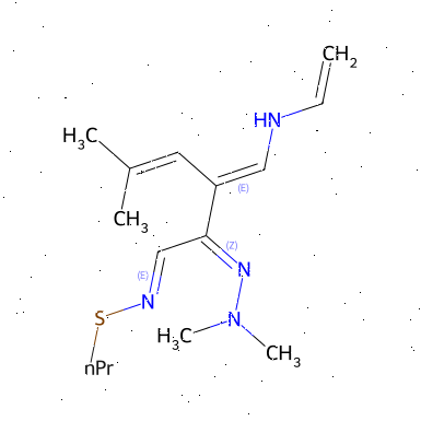 C=CN/C=C(C=C(C)C)/C(/C=N/SCCC)=N/N(C)C